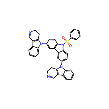 O=S(=O)(c1ccccc1)n1c2ccc(-n3c4c(c5ccccc53)C=NCC4)cc2c2cc(-n3c4c(c5ccccc53)C=NCC4)ccc21